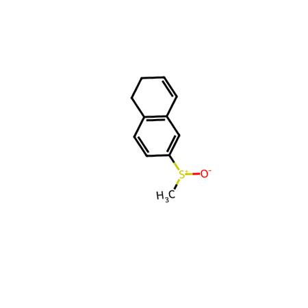 C[S+]([O-])c1ccc2c(c1)C=CCC2